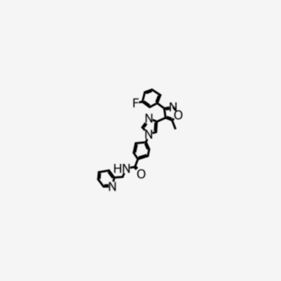 Cc1onc(-c2cccc(F)c2)c1-c1cn(-c2ccc(C(=O)NCc3ccccn3)cc2)cn1